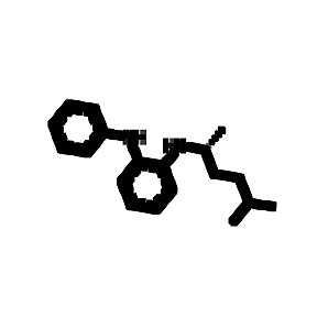 CC(C)CC[C@@H](C)Nc1ccccc1Nc1ccccc1